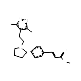 COC(=O)C=Cc1ccc([C@@H]2CCCN2CCc2c(C)n[nH]c2C)cc1